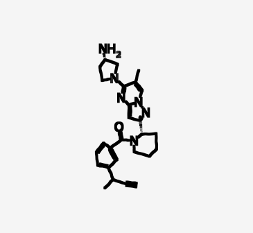 C#CC(C)c1cccc(C(=O)N2CCCC[C@H]2c2cc3nc(N4CC[C@H](N)C4)c(C)cn3n2)c1